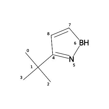 CC(C)(C)C1=NBC=C1